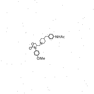 COc1ccc(N2C(=O)OCC2CN2CCC(Cc3ccc(NC(C)=O)cc3)CC2)cc1